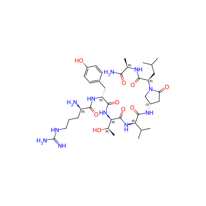 CC(C)C[C@H](C(=O)N[C@H](C)C(N)=O)N1C[C@@H](NC(=O)[C@H](NC(=O)[C@H](NC(=O)[C@@H](Cc2ccc(O)cc2)NC(=O)[C@H](N)CCCNC(=N)N)[C@@H](C)O)C(C)C)CC1=O